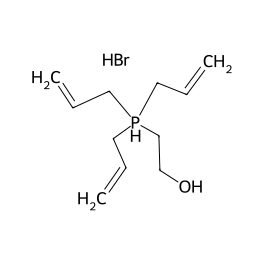 Br.C=CC[PH](CC=C)(CC=C)CCO